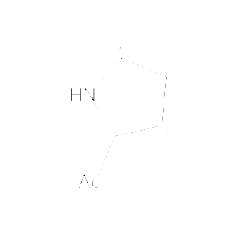 [CH2]C(=O)C1CCCN1